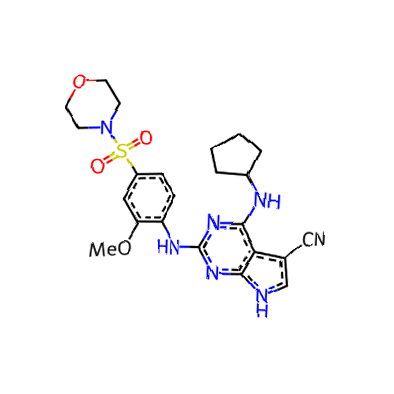 COc1cc(S(=O)(=O)N2CCOCC2)ccc1Nc1nc(NC2CCCC2)c2c(C#N)c[nH]c2n1